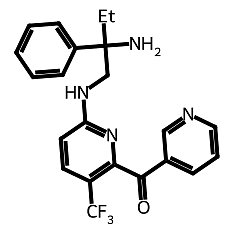 CCC(N)(CNc1ccc(C(F)(F)F)c(C(=O)c2cccnc2)n1)c1ccccc1